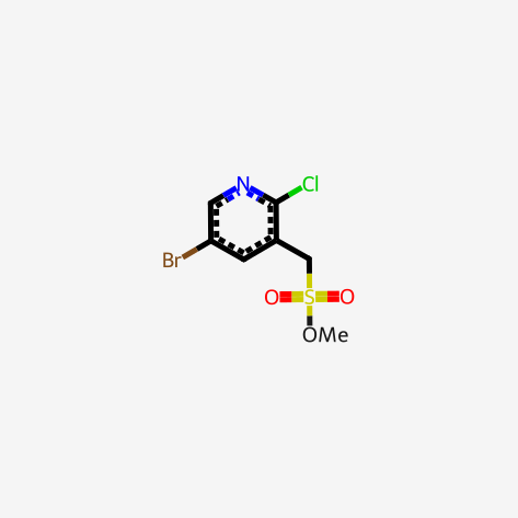 COS(=O)(=O)Cc1cc(Br)cnc1Cl